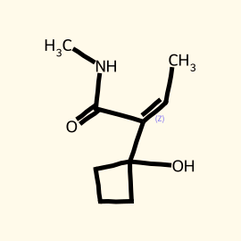 C/C=C(\C(=O)NC)C1(O)CCC1